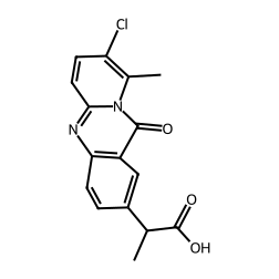 Cc1c(Cl)ccc2nc3ccc(C(C)C(=O)O)cc3c(=O)n12